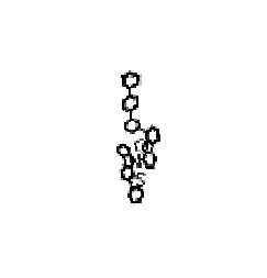 c1ccc(-c2ccc(-c3cccc(-c4cccc5c4oc4c(-n6c7ccccc7c7ccc8c9ccccc9sc8c76)cccc45)c3)cc2)cc1